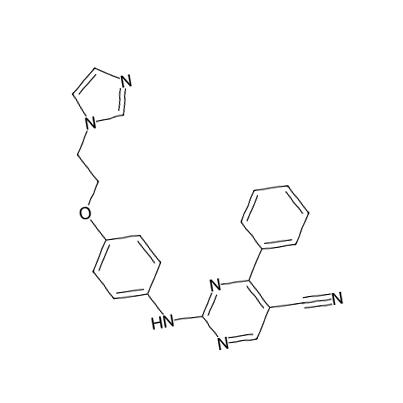 N#Cc1cnc(Nc2ccc(OCCn3ccnc3)cc2)nc1-c1ccccc1